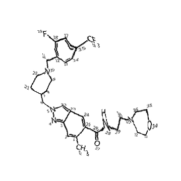 Cc1cc2nn(CC3CCN(Cc4ccc(C(F)(F)F)cc4F)CC3)cc2cc1C(=O)NCCN1CCOCC1